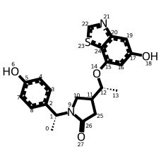 C[C@H](c1ccc(O)cc1)N1CC([C@@H](C)Oc2cc(O)cc3ncsc23)CC1=O